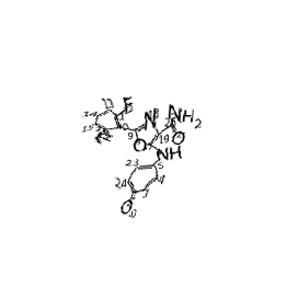 COc1ccc(Nc2oc(-c3c(F)cccc3F)nc2C(N)=O)cc1